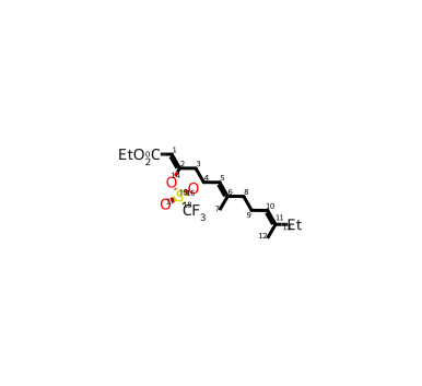 CCOC(=O)/C=C(/CC/C=C(\C)CC/C=C(\C)CC)OS(=O)(=O)C(F)(F)F